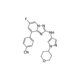 N#Cc1ccc(-c2cc(F)cn3nc(Nc4cnn(C5CCOCC5)c4)nc23)cc1